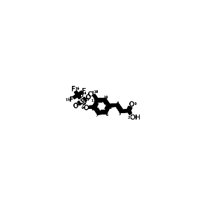 O=C(O)C=Cc1ccc(OS(=O)(=O)C(F)(F)F)c(Cl)c1